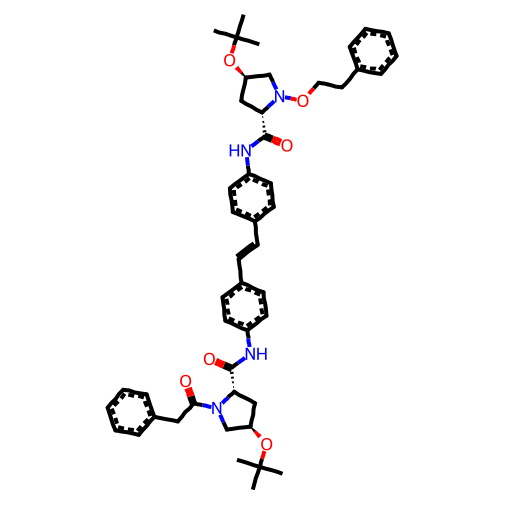 CC(C)(C)O[C@@H]1C[C@@H](C(=O)Nc2ccc(/C=C/c3ccc(NC(=O)[C@@H]4C[C@@H](OC(C)(C)C)CN4C(=O)Cc4ccccc4)cc3)cc2)N(OCCc2ccccc2)C1